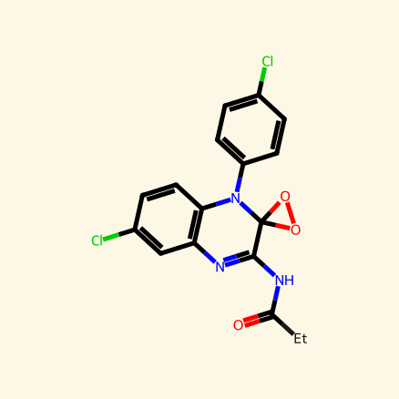 CCC(=O)NC1=Nc2cc(Cl)ccc2N(c2ccc(Cl)cc2)C12OO2